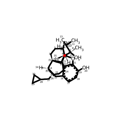 CC12CC[C@@]3(C[C@@H]1[C@](C)(O)C(C)(C)C)[C@H]1Cc4ccc(O)c5c4[C@@]3(CCN1CC1CC1)[C@H]2O5